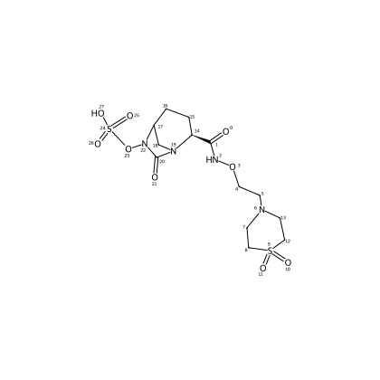 O=C(NOCCN1CCS(=O)(=O)CC1)[C@@H]1CCC2CN1C(=O)N2OS(=O)(=O)O